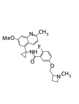 COc1cc(C2(NC(=O)c3cc(OCC4CCN4C)ccc3F)CC2)c2ccc(C)nc2c1